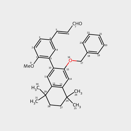 COc1ccc(C=CC=O)cc1-c1cc2c(cc1OCc1ccccc1)C(C)(C)CCC2(C)C